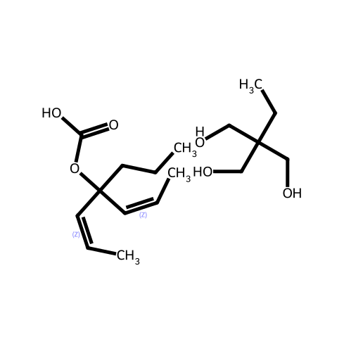 C/C=C\C(/C=C\C)(CCC)OC(=O)O.CCC(CO)(CO)CO